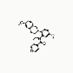 CCN(C(=O)c1ccncc1)c1cc(OC)ccc1C1CCc2cc(OC)ccc2C1